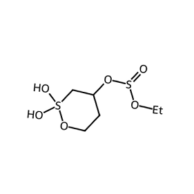 CCOS(=O)OC1CCOS(O)(O)C1